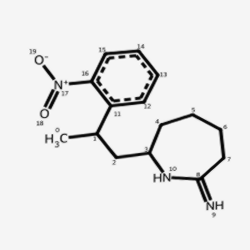 CC(CC1CCCCC(=N)N1)c1ccccc1[N+](=O)[O-]